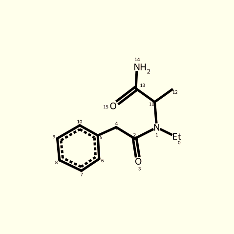 CCN(C(=O)[CH]c1ccccc1)C(C)C(N)=O